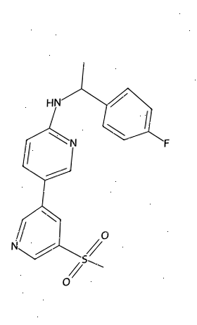 CC(Nc1ccc(-c2cncc(S(C)(=O)=O)c2)cn1)c1ccc(F)cc1